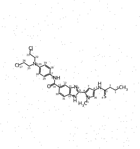 CCCC(=S)Nc1cc(-c2nc3cc(C(=O)Nc4ccc(N(CCCl)CCCl)cc4)ccc3[nH]2)n(C)c1